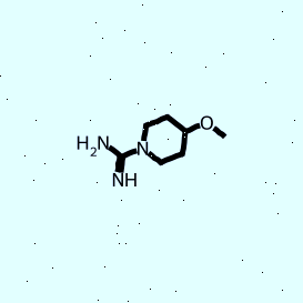 COC1CCN(C(=N)N)CC1